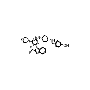 Oc1ccc(CN[C@H]2CC[C@H](Nc3nc(N4CCOCC4)nc(-n4c(C(F)F)nc5ccccc54)n3)CC2)cc1